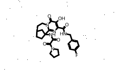 O=C(NC12CCC(CCn3c1nc(C(=O)NCc1ccc(F)cc1)c(O)c3=O)C2)C(=O)N1CCCC1